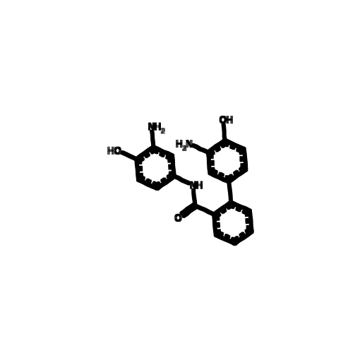 Nc1cc(NC(=O)c2ccccc2-c2ccc(O)c(N)c2)ccc1O